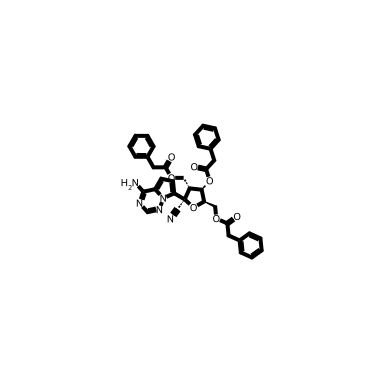 N#C[C@@]1(c2ccc3c(N)ncnn23)O[C@H](COC(=O)Cc2ccccc2)[C@@H](OC(=O)Cc2ccccc2)[C@H]1COC(=O)Cc1ccccc1